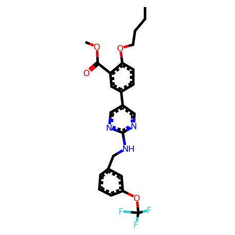 CCCCOc1ccc(-c2cnc(NCc3cccc(OC(F)(F)F)c3)nc2)cc1C(=O)OC